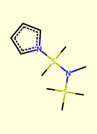 CN(S(C)(C)C)S(C)(C)n1cccc1